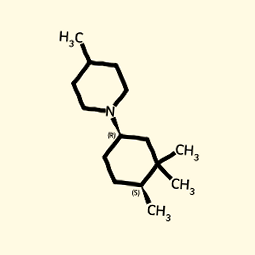 CC1CCN([C@@H]2CC[C@H](C)C(C)(C)C2)CC1